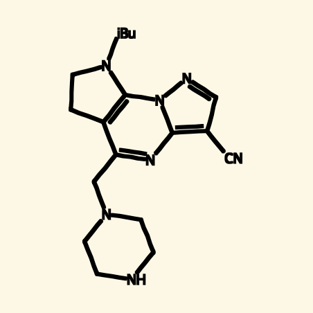 CCC(C)N1CCc2c(CN3CCNCC3)nc3c(C#N)cnn3c21